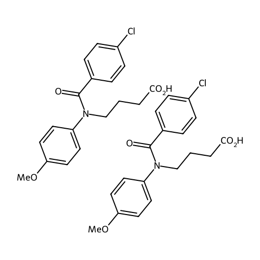 COc1ccc(N(CCCC(=O)O)C(=O)c2ccc(Cl)cc2)cc1.COc1ccc(N(CCCC(=O)O)C(=O)c2ccc(Cl)cc2)cc1